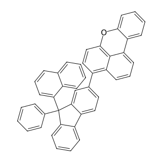 c1ccc(C2(c3cccc4ccccc34)c3ccccc3-c3ccc(-c4ccc5c6c(cccc46)-c4ccccc4O5)cc32)cc1